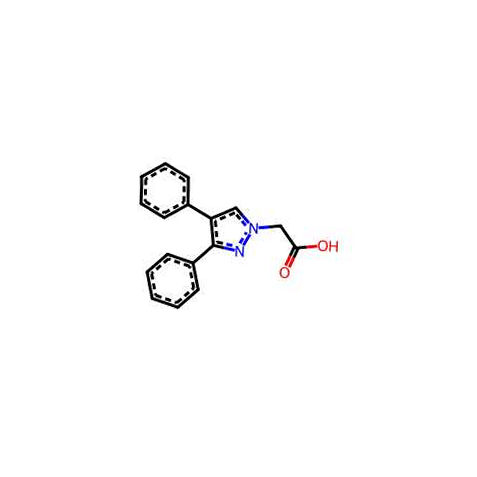 O=C(O)Cn1cc(-c2ccccc2)c(-c2ccccc2)n1